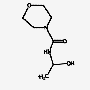 [CH2]C(O)NC(=O)N1CCOCC1